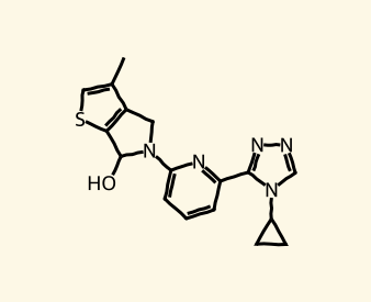 Cc1csc2c1CN(c1cccc(-c3nncn3C3CC3)n1)C2O